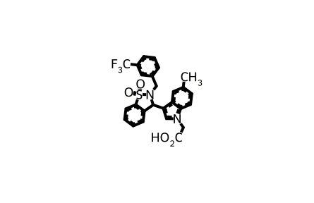 Cc1ccc2c(c1)c(C1c3ccccc3S(=O)(=O)N1Cc1cccc(C(F)(F)F)c1)cn2CC(=O)O